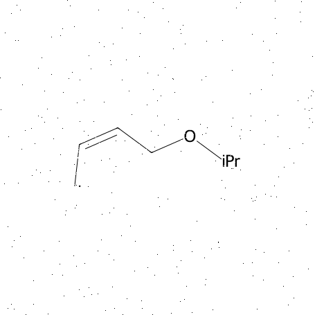 [CH2]/C=C\COC(C)C